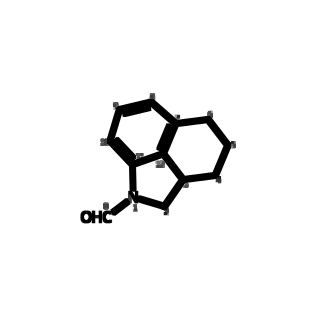 O=CN1CC2CCCc3[c]ccc1c32